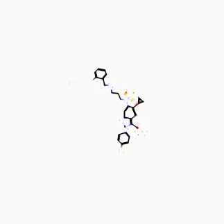 CNC(=O)c1c2cc(C3CC3)c(N(CCCNC(=O)c3ccccc3C(=O)O)S(C)(=O)=O)cc2nn1-c1ccc(Br)cc1